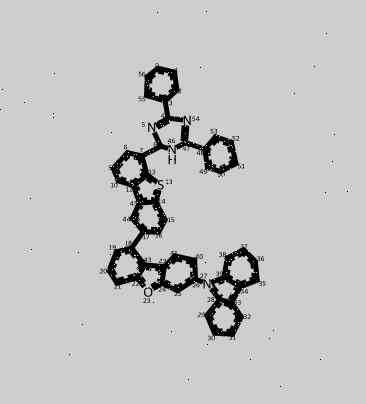 c1ccc(C2=NC(c3cccc4c3sc3ccc(-c5cccc6oc7cc(-n8c9ccccc9c9ccccc98)ccc7c56)cc34)NC(c3ccccc3)=N2)cc1